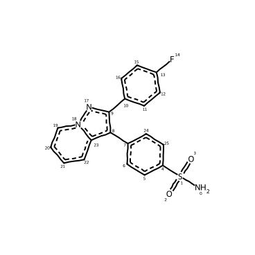 NS(=O)(=O)c1ccc(-c2c(-c3ccc(F)cc3)nn3ccccc23)cc1